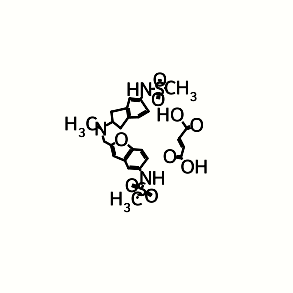 CN(Cc1cc2cc(NS(C)(=O)=O)ccc2o1)C1Cc2ccc(NS(C)(=O)=O)cc2C1.O=C(O)C=CC(=O)O